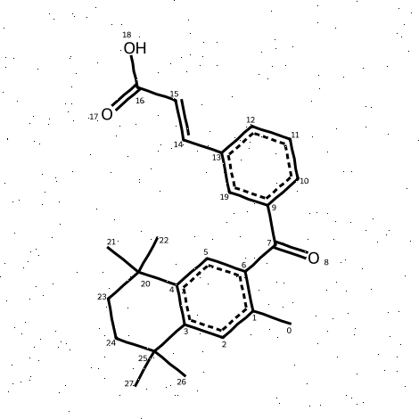 Cc1cc2c(cc1C(=O)c1cccc(C=CC(=O)O)c1)C(C)(C)CCC2(C)C